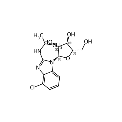 CC(C)Nc1nc2c(Cl)cccc2n1[C@@H]1O[C@@H](CO)[C@H](O)[C@@H]1O